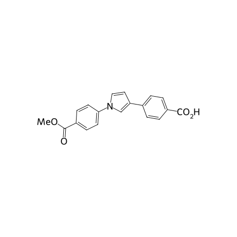 COC(=O)c1ccc(-n2ccc(-c3ccc(C(=O)O)cc3)c2)cc1